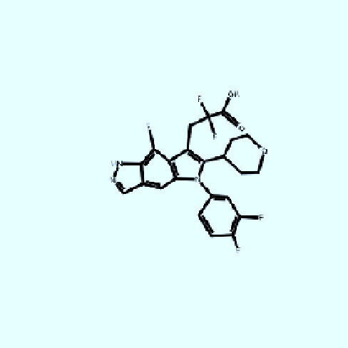 O=C(O)C(F)(F)Cc1c(C2CCOCC2)n(-c2ccc(F)c(F)c2)c2cc3cn[nH]c3c(F)c12